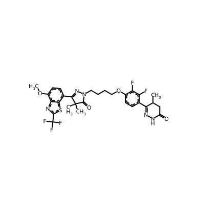 COc1ccc(C2=NN(CCCCOc3ccc(C4=NNC(=O)CC4C)c(F)c3F)C(=O)C2(C)C)c2sc(C(F)(F)F)nc12